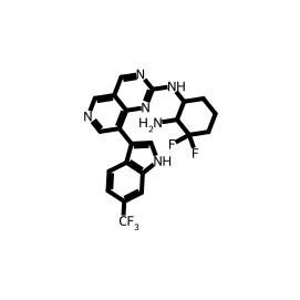 NC1C(Nc2ncc3cncc(-c4c[nH]c5cc(C(F)(F)F)ccc45)c3n2)CCCC1(F)F